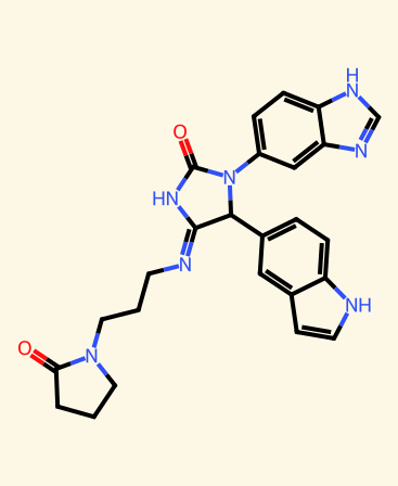 O=C1CCCN1CCCN=C1NC(=O)N(c2ccc3[nH]cnc3c2)C1c1ccc2[nH]ccc2c1